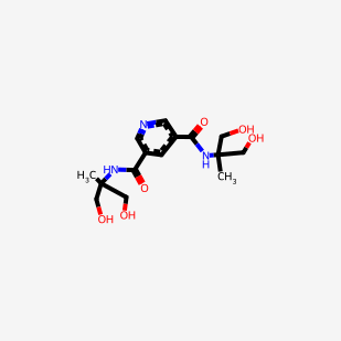 CC(CO)(CO)NC(=O)c1cncc(C(=O)NC(C)(CO)CO)c1